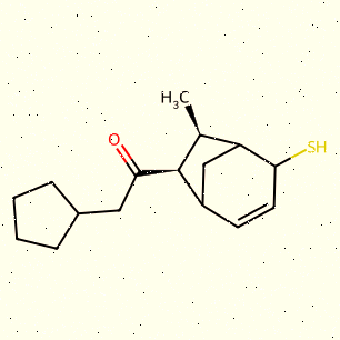 C[C@H]1C2CC(C=CC2S)[C@H]1C(=O)CC1CCCC1